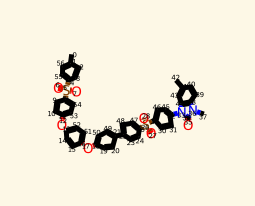 Cc1ccc(S(=O)(=O)c2ccc(Oc3ccc(Oc4ccc(-c5ccc(S(=O)(=O)c6ccc(-n7c(=O)n(C)c8ccc(C)cc87)cc6)cc5)cc4)cc3)cc2)cc1